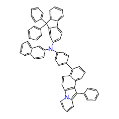 c1ccc(-c2c3c4cccc(-c5ccc(N(c6ccc7c(c6)C(c6ccccc6)(c6ccccc6)c6ccccc6-7)c6ccc7ccccc7c6)cc5)c4ccc3n3ccccc23)cc1